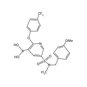 COc1ccc(CN(C)S(=O)(=O)c2cnc(Oc3ccc(C(F)(F)F)cc3)c(B(O)O)c2)cc1